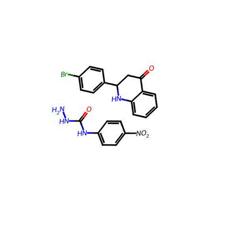 NNC(=O)Nc1ccc([N+](=O)[O-])cc1.O=C1CC(c2ccc(Br)cc2)Nc2ccccc21